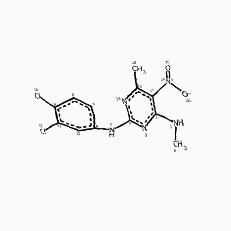 CNc1nc(Nc2ccc(Cl)c(Cl)c2)nc(C)c1[N+](=O)[O-]